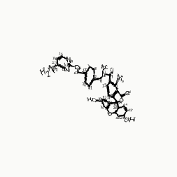 CC(=O)c1c(C(=O)N(Cc2ccc(COc3nccc(N)n3)cc2)C(C)=O)ccc2c1C(=O)OC21c2ccc(O)cc2Oc2cc(O)ccc21